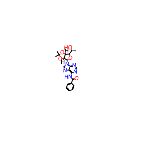 C[C@H](O)[C@H]1O[C@@H](n2cnc3c(NC(=O)c4ccccc4)ncnc32)[C@@H]2OC(C)(C)O[C@@H]21